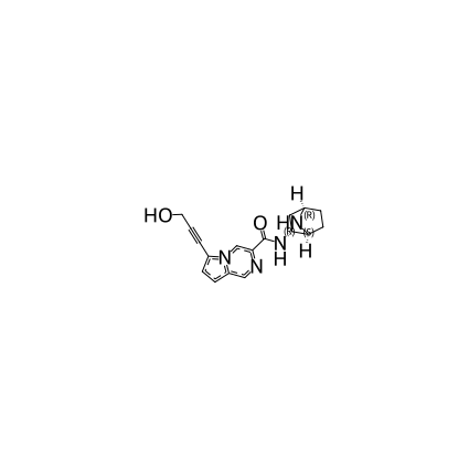 O=C(N[C@@H]1C[C@H]2CC[C@@H]1N2)c1cn2c(C#CCO)ccc2cn1